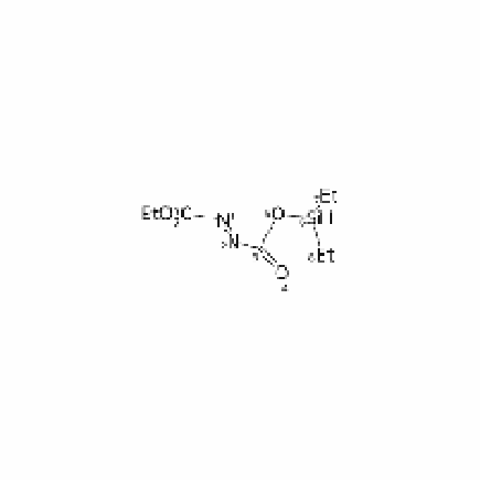 CCOC(=O)N=NC(=O)O[SiH](CC)CC